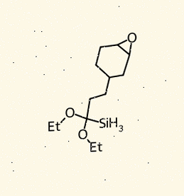 CCOC([SiH3])(CCC1CCC2OC2C1)OCC